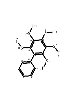 FSc1c(SF)c(SF)c(-c2ccccc2)c(SF)c1SF